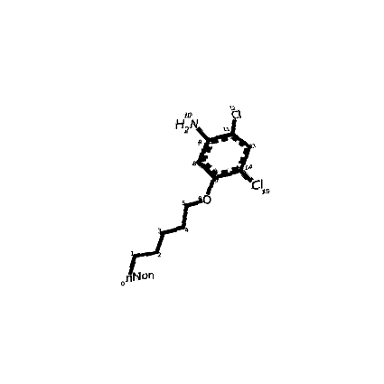 CCCCCCCCCCCCCCOc1cc(N)c(Cl)cc1Cl